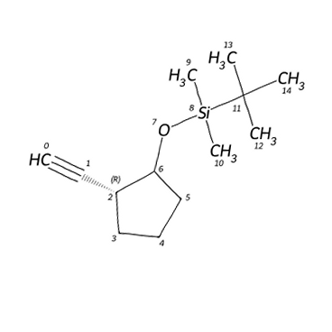 C#C[C@H]1CCCC1O[Si](C)(C)C(C)(C)C